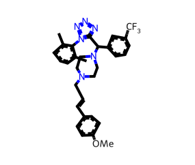 COc1ccc(C=CCN2CCN(C(c3cccc(C(F)(F)F)c3)c3nnnn3-c3c(C)cccc3C)CC2)cc1